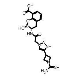 N=C(N)N1CC(C2=CN(CC(=O)N[C@H]3Cc4cccc(C(=O)O)c4OB3O)NN2)C1